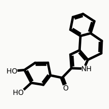 O=C(c1ccc(O)c(O)c1)c1cc2c(ccc3ccccc32)[nH]1